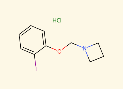 Cl.Ic1ccccc1OCN1CCC1